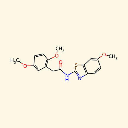 COc1ccc(OC)c(CC(=O)Nc2nc3ccc(OC)cc3s2)c1